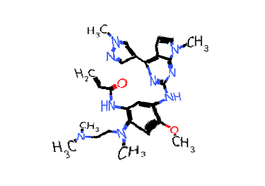 C=CC(=O)Nc1cc(Nc2nc(-c3cnn(C)c3)c3ccn(C)c3n2)c(OC)cc1N(C)CCN(C)C